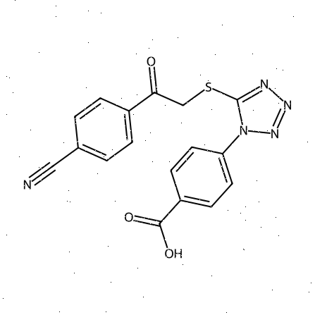 N#Cc1ccc(C(=O)CSc2nnnn2-c2ccc(C(=O)O)cc2)cc1